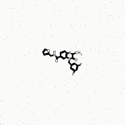 CC1Sc2ccc(C(=O)NCc3ccco3)cc2N(Cc2cc(F)cc(F)c2)C1=O